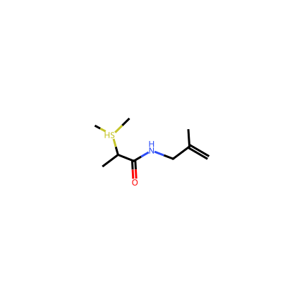 C=C(C)CNC(=O)C(C)[SH](C)C